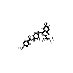 Cc1ccc(C(=O)NC2CCC(Nc3nc(C(C)(C)C)nc4ccc(C)cc34)CC2)cc1